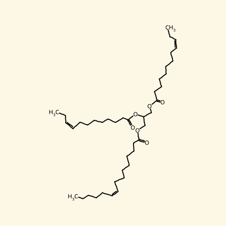 CC/C=C\CCCCCCCC(=O)OCC(COC(=O)CCCCCCC/C=C\CCCCC)OC(=O)CCCCCCC/C=C\CC